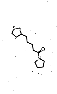 O=C(CCCCC1CCSS1)N1CCCC1